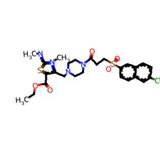 CCOC(=O)c1s/c(=N\C)n(C)c1CN1CCN(C(=O)CCS(=O)(=O)c2ccc3cc(Cl)ccc3c2)CC1